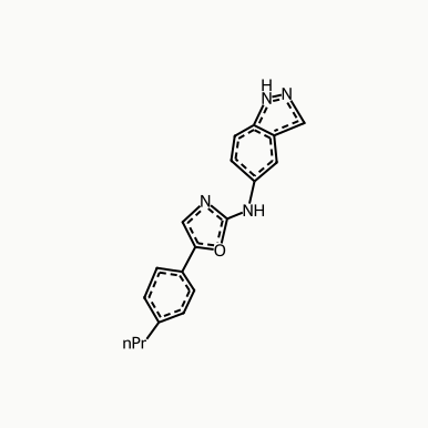 CCCc1ccc(-c2cnc(Nc3ccc4[nH]ncc4c3)o2)cc1